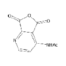 CC(=O)Nc1ccnc2c1C(=O)OC2=O